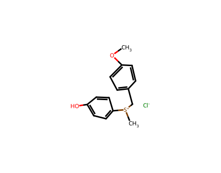 COc1ccc(C[S+](C)c2ccc(O)cc2)cc1.[Cl-]